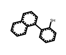 Sc1ccccc1-c1cccc2ccccc12